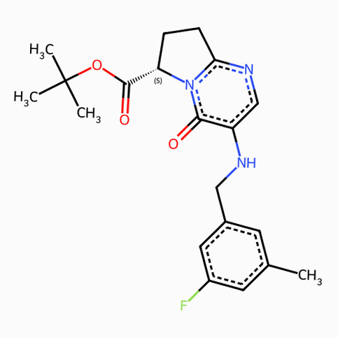 Cc1cc(F)cc(CNc2cnc3n(c2=O)[C@H](C(=O)OC(C)(C)C)CC3)c1